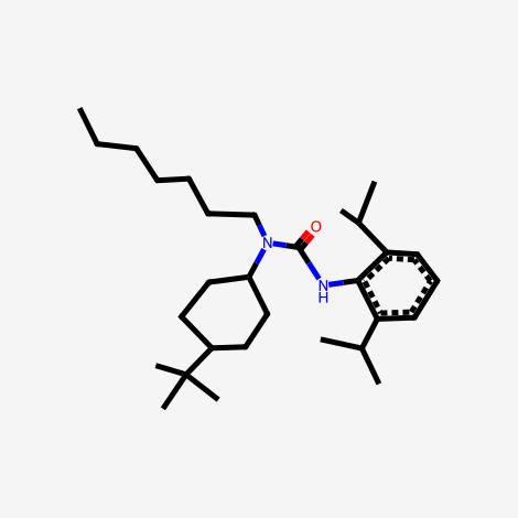 CCCCCCCN(C(=O)Nc1c(C(C)C)cccc1C(C)C)C1CCC(C(C)(C)C)CC1